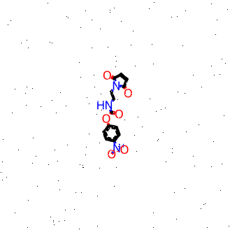 O=C(NCCN1C(=O)C=CC1=O)Oc1ccc([N+](=O)[O-])cc1